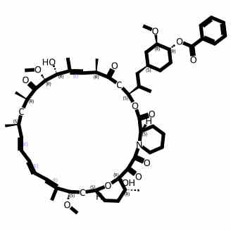 CO[C@H]1C[C@@H]2CC[C@@H](C)[C@@](O)(O2)C(=O)C(=O)N2CCCC[C@H]2C(=O)O[C@H](C(C)C[C@@H]2CC[C@@H](OC(=O)c3ccccc3)[C@H](OC)C2)CC(=O)[C@H](C)/C=C(\C)[C@@H](O)[C@@H](OC)C(=O)[C@H](C)C[C@H](C)/C=C/C=C/C=C/1C